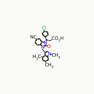 Cc1cc(C)c2c(Cn3c(=O)n([C@H](CC(=O)O)c4ccc(Cl)cc4)c4cc(C#N)ccc43)cn(C)c2c1